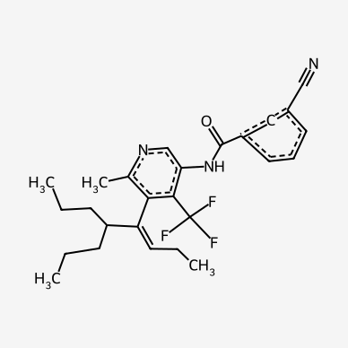 CC/C=C(\c1c(C)ncc(NC(=O)c2cccc(C#N)c2)c1C(F)(F)F)C(CCC)CCC